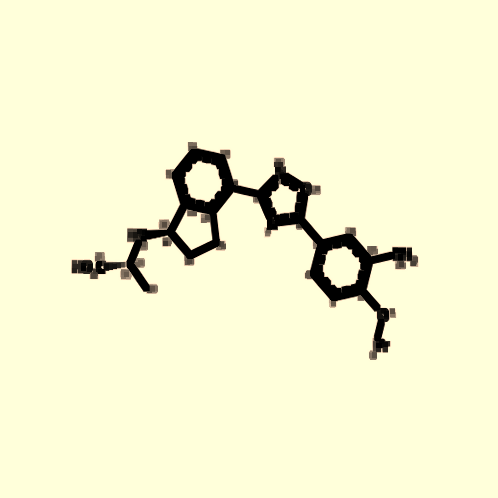 CC(C)Oc1ccc(-c2nc(-c3cccc4c3CC[C@H]4N[C@H](C)C(=O)O)no2)cc1N